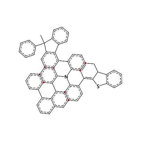 CC1(c2ccccc2)c2ccccc2-c2c(-c3ccccc3N(c3ccccc3C3=C4Sc5ccccc5C4CC=C3)c3ccccc3-c3cccc4cccc(-c5ccccc5)c34)cccc21